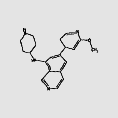 COC1=CC(c2cc(NC3CCNCC3)c3cnccc3c2)CC=N1